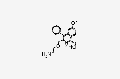 COc1ccc2c(=O)n(C)c(COCCN)c(-c3ccccc3)c2c1.Cl